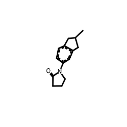 CC1Cc2ccc(N3CCCC3=O)cc2C1